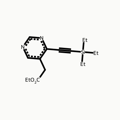 CCOC(=O)Cc1cncnc1C#C[Si](CC)(CC)CC